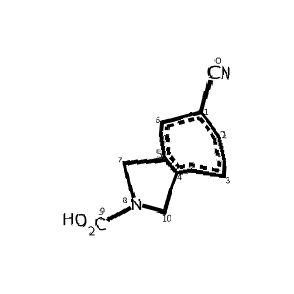 N#Cc1ccc2c(c1)CN(C(=O)O)C2